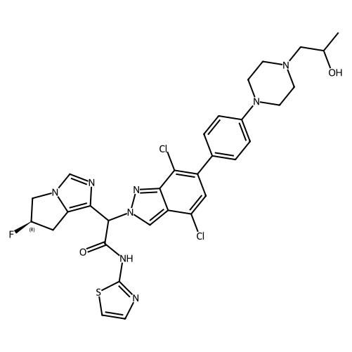 CC(O)CN1CCN(c2ccc(-c3cc(Cl)c4cn(C(C(=O)Nc5nccs5)c5ncn6c5C[C@@H](F)C6)nc4c3Cl)cc2)CC1